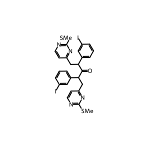 CSc1nccc(CC(C(=O)C(Cc2ccnc(SC)n2)c2cccc(I)c2)c2cccc(I)c2)n1